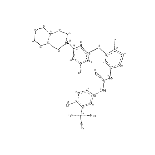 Cc1nc(Cc2cc(NC(=O)Nc3ccc(Cl)c(C(F)(F)F)c3)ccc2C)nc(N2CCN3CCCCC3C2)n1